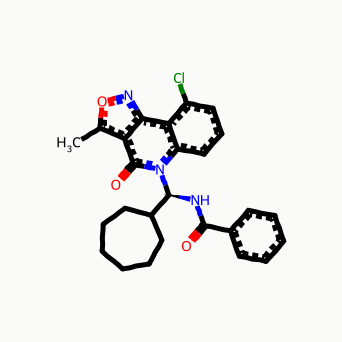 Cc1onc2c1c(=O)n([C@@H](NC(=O)c1ccccc1)C1CCCCCC1)c1cccc(Cl)c21